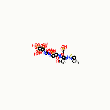 Cc1cc(N=Nc2ccc3c(S(=O)(=O)O)c(N=Nc4cnn(-c5cc(S(=O)(=O)O)c6cc(S(=O)(=O)O)cc(S(=O)(=O)O)c6c5)c4O)ccc3c2O)c(OCCCS(=O)(=O)O)cc1N=Nc1nc2c(C)cccc2s1